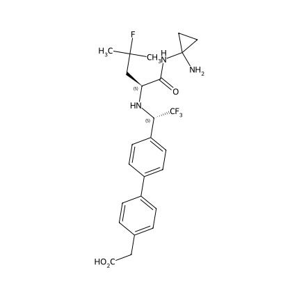 CC(C)(F)C[C@H](N[C@@H](c1ccc(-c2ccc(CC(=O)O)cc2)cc1)C(F)(F)F)C(=O)NC1(N)CC1